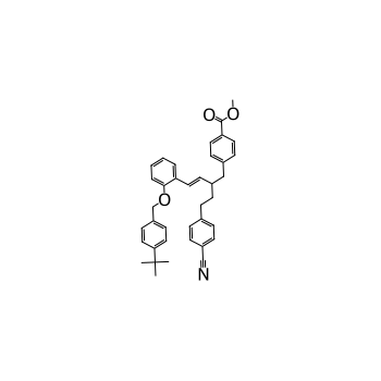 COC(=O)c1ccc(CC(C=Cc2ccccc2OCc2ccc(C(C)(C)C)cc2)CCc2ccc(C#N)cc2)cc1